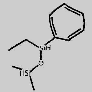 CC[SiH](O[SiH](C)C)c1ccccc1